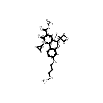 COCCCOc1ccc2c(c1)OC(C1(C)COC1)c1cc(C(=O)OC)c(=O)n(C3CC3)c1-2